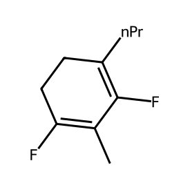 CCCC1=C(F)C(C)=C(F)CC1